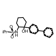 CC(C)S(=O)(=O)NC1CCCCC1(O)c1ccc(-c2ccccc2)cc1